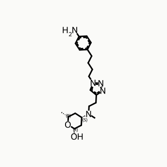 C[C@@H]1C[C@H](N(C)CCc2cn(CCCCc3ccc(N)cc3)nn2)C[C@H](O)O1